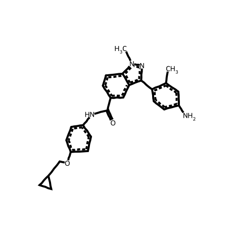 Cc1cc(N)ccc1-c1nn(C)c2ccc(C(=O)Nc3ccc(OCC4CC4)cc3)cc12